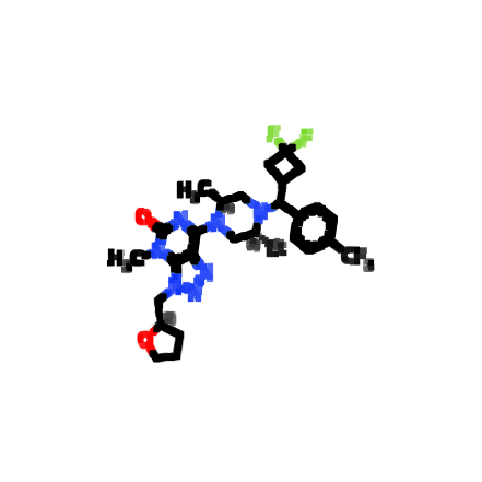 CC[C@@H]1CN(c2nc(=O)n(C)c3c2nnn3C[C@H]2CCCO2)[C@@H](C)CN1C(c1ccc(C(F)(F)F)cc1)C1CC(F)(F)C1